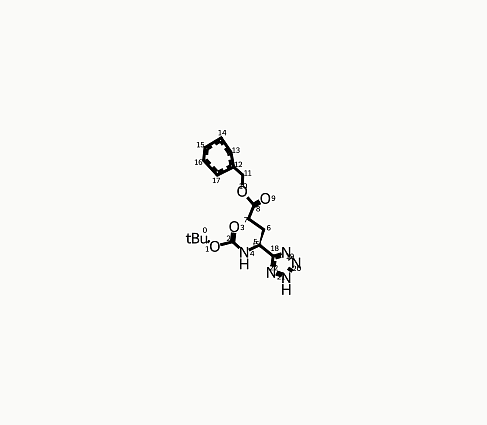 CC(C)(C)OC(=O)N[C@@H](CCC(=O)OCc1ccccc1)c1nn[nH]n1